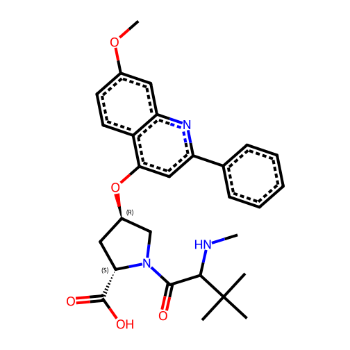 CNC(C(=O)N1C[C@H](Oc2cc(-c3ccccc3)nc3cc(OC)ccc23)C[C@H]1C(=O)O)C(C)(C)C